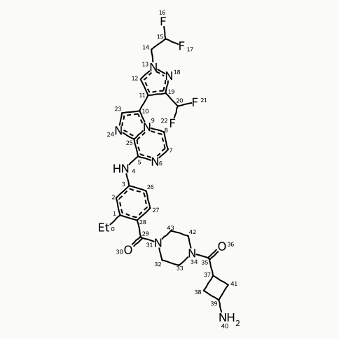 CCc1cc(Nc2nccn3c(-c4cn(CC(F)F)nc4C(F)F)cnc23)ccc1C(=O)N1CCN(C(=O)C2CC(N)C2)CC1